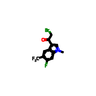 Cn1cc(C(=O)CBr)c2cc(C(F)(F)F)c(F)cc21